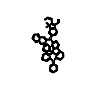 C=CC1=C(/C=C\C)C(C)(C)c2cc(N(c3ccc4c(c3)C3(c5ccccc5)c5ccccc5N(c5ccccc5)c5cccc-4c53)c3ccc4ccccc4c3)ccc21